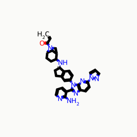 C=CC(=O)N1CC2CC1CCC2N[C@H]1CCc2cc(-n3c(-c4cccnc4N)nc4ccc(-n5cccn5)nc43)ccc21